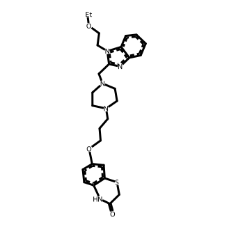 CCOCCn1c(CN2CCN(CCCOc3ccc4c(c3)SCC(=O)N4)CC2)nc2ccccc21